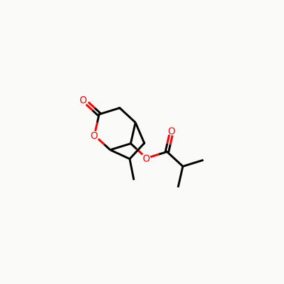 CC(C)C(=O)OC1C2CC(=O)OC1C(C)C2